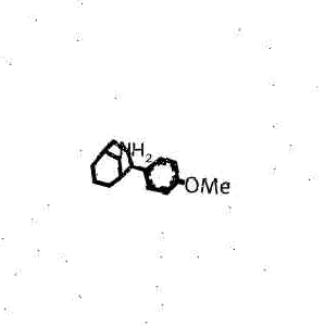 COc1ccc(C2CCC3CCCC2C3N)cc1